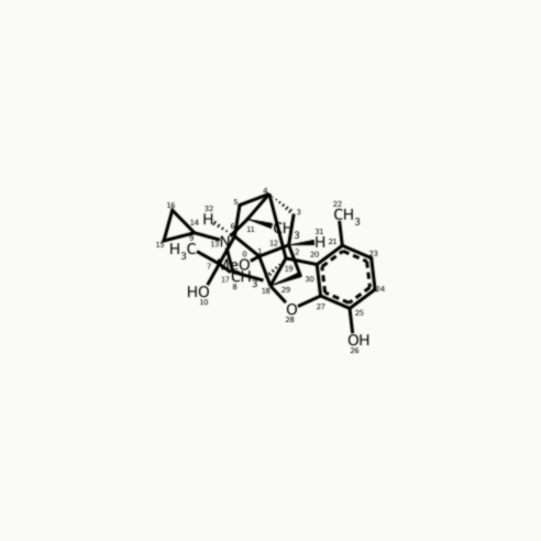 COC12[C@@H]3C[C@@]4(C[C@@H]1C(C)(C)O)[C@@H](C)N(C1CC1)CC[C@@]41c4c(C)ccc(O)c4O[C@]21C3